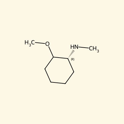 CN[C@@H]1CCCCC1OC